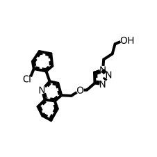 OCCCn1cc(COCc2cc(-c3ccccc3Cl)nc3ccccc23)nn1